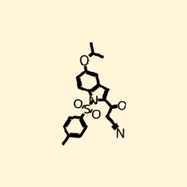 Cc1ccc(S(=O)(=O)n2c(C(=O)CC#N)cc3cc(OC(C)C)ccc32)cc1